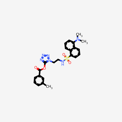 Cc1cccc(C(=O)Oc2nnnn2CCNS(=O)(=O)c2cccc3c(N(C)C)cccc23)c1